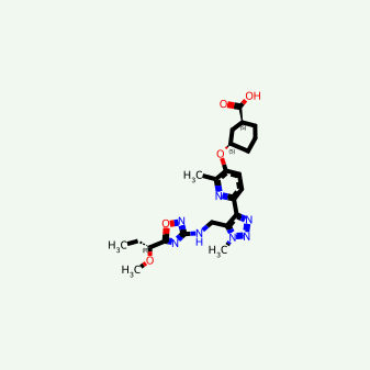 CC[C@@H](OC)c1nc(NCc2c(-c3ccc(O[C@H]4CCC[C@H](C(=O)O)C4)c(C)n3)nnn2C)no1